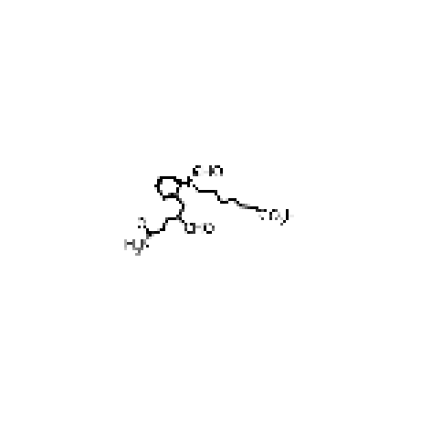 NC(=O)CCC(C=O)Cc1ccccc1N(C=O)CCCCCCC(=O)O